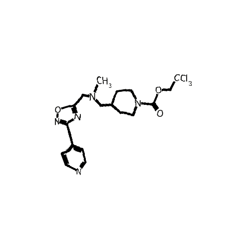 CN(Cc1nc(-c2ccncc2)no1)CC1CCN(C(=O)OCC(Cl)(Cl)Cl)CC1